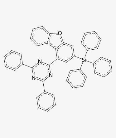 c1ccc(-c2nc(-c3ccccc3)nc(-c3cc([Si](c4ccccc4)(c4ccccc4)c4ccccc4)cc4oc5ccccc5c34)n2)cc1